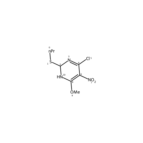 CCCSC1N=C(Cl)C([N+](=O)[O-])=C(OC)N1